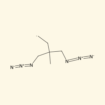 [CH2]CC(C)(CN=[N+]=[N-])CN=[N+]=[N-]